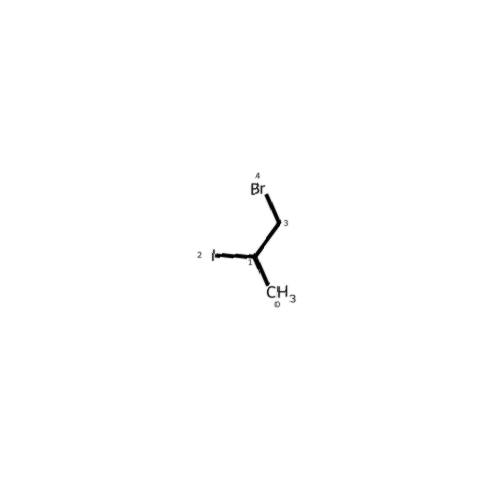 CC(I)CBr